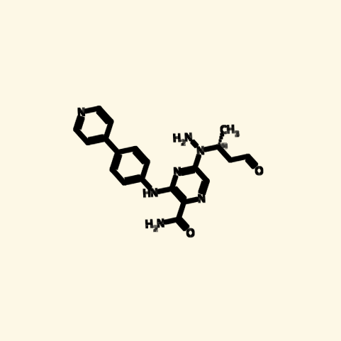 C[C@H](CC=O)N(N)c1cnc(C(N)=O)c(Nc2ccc(-c3ccncc3)cc2)n1